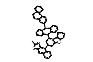 Cc1nc2c(-c3cc(-c4c5ccccc5c(-c5ccc6c(ccc7ccccc76)c5)c5ccccc45)c4c(c3)oc3ccccc34)c3ccccc3cc2s1